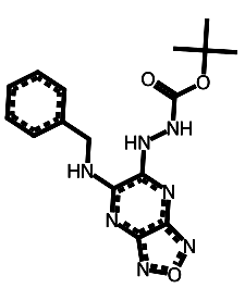 CC(C)(C)OC(=O)NNc1nc2nonc2nc1NCc1ccccc1